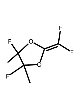 CC1(F)OC(=C(F)F)OC1(C)F